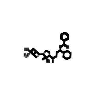 CC[C@]1(C)[C@@H]([C@H](C)CCC(OC(=O)c2ccccc2)C2CCCCC2)CC[C@H]1[C@@H]1CC2C1C[C@@]2(O)C(F)(F)F